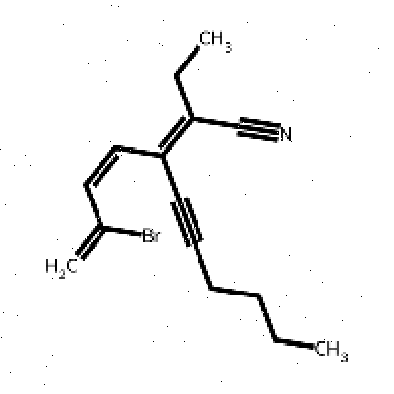 C=C(Br)/C=C\C(C#CCCCC)=C(\C#N)CC